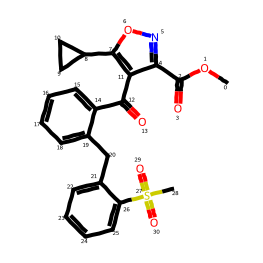 COC(=O)c1noc(C2CC2)c1C(=O)c1ccccc1Cc1ccccc1S(C)(=O)=O